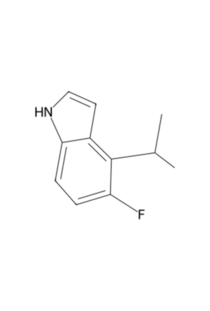 CC(C)c1c(F)ccc2[nH]ccc12